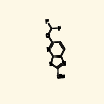 CC(C)(C)c1nc2ccc(OC(F)F)nc2s1